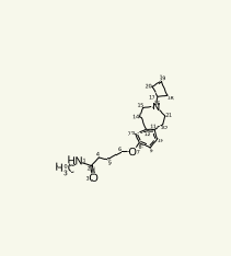 CNC(=O)CCCOc1ccc2c(c1)CCN(C1CCC1)CC2